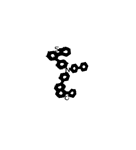 c1ccc(-c2ccc(N(c3ccc(-c4ccc5ccc6oc7ccccc7c6c5c4)cc3)c3ccc(-c4cccc5sc6ccccc6c45)cc3)cc2)cc1